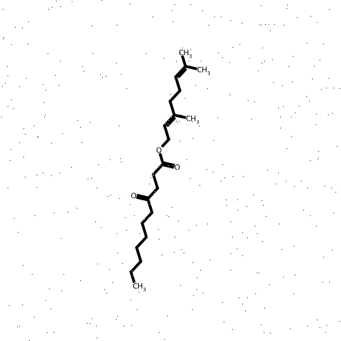 CCCCCCCC(=O)CCC(=O)OC/C=C(\C)CCC=C(C)C